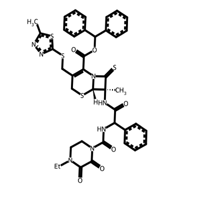 CCN1CCN(C(=O)NC(C(=O)N[C@]2(C)C(=S)N3C(C(=O)OC(c4ccccc4)c4ccccc4)=C(CSc4nnc(C)s4)CS[C@H]32)c2ccccc2)C(=O)C1=O